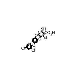 CCN(C(=O)C(C)Oc1ccc(Oc2ncc(Cl)cc2Cl)cc1)[C@@H](CS)C(=O)O